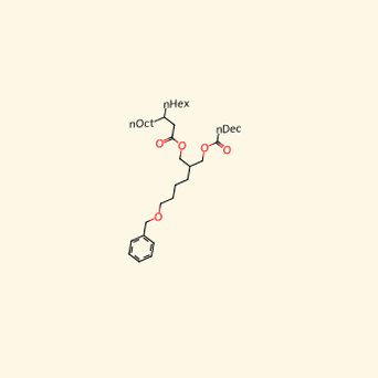 CCCCCCCCCCC(=O)OCC(CCCCOCc1ccccc1)COC(=O)CC(CCCCCC)CCCCCCCC